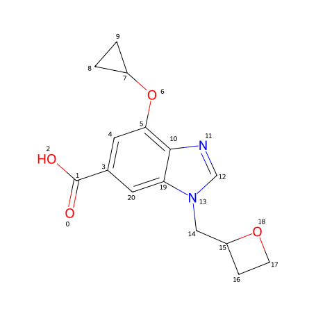 O=C(O)c1cc(OC2CC2)c2ncn(CC3CCO3)c2c1